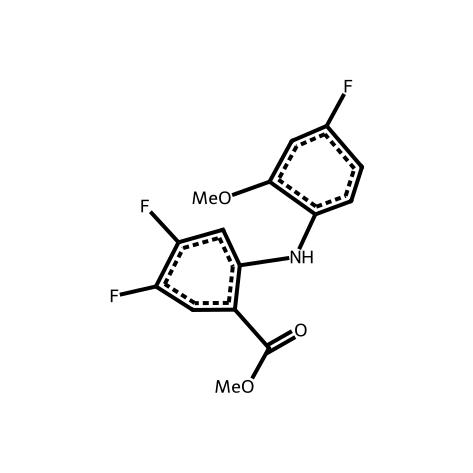 COC(=O)c1cc(F)c(F)cc1Nc1ccc(F)cc1OC